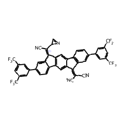 N#CC(C#N)=C1c2cc(-c3cc(C(F)(F)F)cc(C(F)(F)F)c3)ccc2-c2cc3c(cc21)-c1ccc(-c2cc(C(F)(F)F)cc(C(F)(F)F)c2)cc1/C3=C(\C#N)C1C=N1